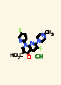 CN1CCN(c2nc3c(cc2F)c(=O)c(C(=O)O)cn3-c2ccc(F)cn2)CC1.Cl